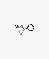 [CH2]C(OC)c1ccccc1